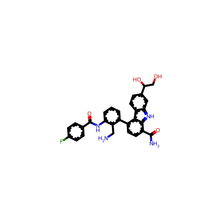 NCc1c(NC(=O)c2ccc(F)cc2)cccc1-c1ccc(C(N)=O)c2[nH]c3cc(C(O)CO)ccc3c12